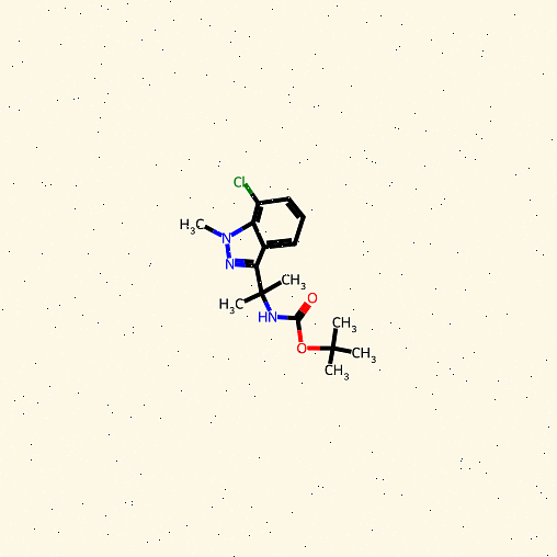 Cn1nc(C(C)(C)NC(=O)OC(C)(C)C)c2cccc(Cl)c21